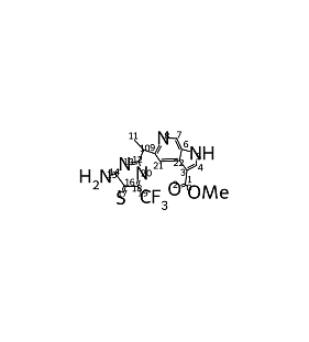 COC(=O)c1c[nH]c2cnc(C(C)C3=NC(N)C(=S)C(C(F)(F)F)=N3)cc12